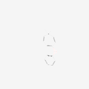 CC1(C)C=CC=C(Oc2ccccc2)C=C1